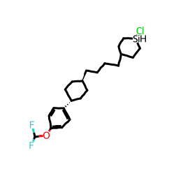 FC(F)Oc1ccc([C@H]2CC[C@H](CCCCC3CC[SiH](Cl)CC3)CC2)cc1